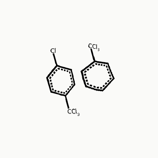 ClC(Cl)(Cl)c1ccccc1.Clc1ccc(C(Cl)(Cl)Cl)cc1